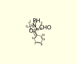 CC1(C)O[C@H](c2ccccc2)[C@@H](C=O)N1P